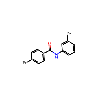 CC(C)c1ccc(C(=O)Nc2cccc(C(C)C)c2)cc1